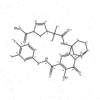 COC(=O)C1CN(C(C)(C)C(=O)NC23CCC(CC2)Cn2c3nc(C(=O)NCc3ccc(F)c(C)c3)c(O)c2=O)N=N1